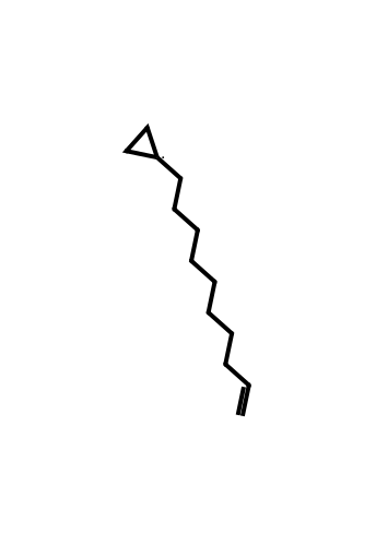 C=CCCCCCCCC[C]1CC1